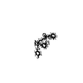 Cc1ccc(CSc2nnc(CCCCC(=O)NCc3ccccc3)n2-c2cccc(Cl)c2)cc1